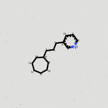 c1cncc(CCC[C]2CCCCCC2)c1